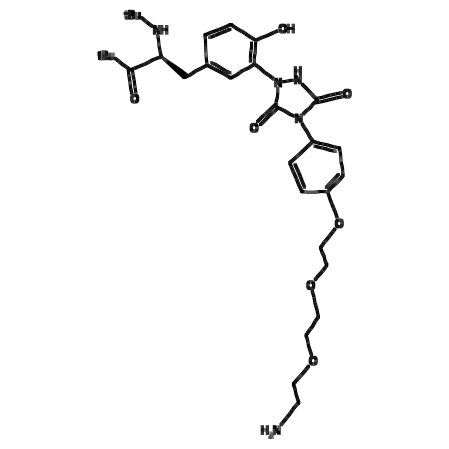 CC(C)(C)N[C@@H](Cc1ccc(O)c(-n2[nH]c(=O)n(-c3ccc(OCCOCCOCCN)cc3)c2=O)c1)C(=O)C(C)(C)C